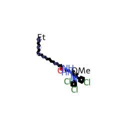 CC/C=C/C/C=C/C/C=C\C/C=C/CCCC/C=C/CCC(=O)NCCNC(OC)c1nn(C2=C(Cl)CC(Cl)C=C2)c(-c2ccc(Cl)cc2)c1C